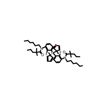 CCCCCCN(C(=O)C(C)(C)CCC)c1ccc(F)[c]([Ti]([c]2c(F)ccc(N(CCCCCC)C(=O)C(C)(C)CCC)c2F)([C]2(C)C=CC=C2)[C]2(C)C=CC=C2)c1F